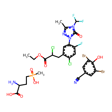 CCOC(=O)C(Cl)Cc1cc(-n2nc(C)n(C(F)F)c2=O)c(F)cc1Cl.CP(=O)(O)CCC(N)C(=O)O.N#Cc1cc(Br)c(O)c(Br)c1